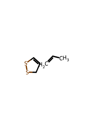 C1=CSSC1.C=CC